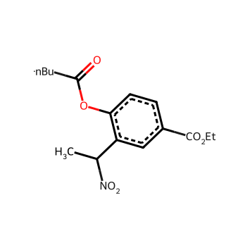 CCC[CH]C(=O)Oc1ccc(C(=O)OCC)cc1C(C)[N+](=O)[O-]